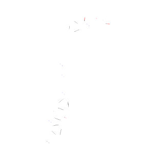 CCc1cc2c(cc1N1CCC(N3CCN(CCCCCSc4cccc5c4CN(C4CCC(=O)NC4=O)C5=O)CC3)CC1)C(C)(C)c1[nH]c3cc(C#N)ccc3c1C2=O